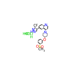 CS(=O)(=O)c1cccc(OC2CCN(c3ccnc4ccc(-c5c[nH]nc5C(F)(F)F)cc34)CC2)c1.Cl.Cl.Cl